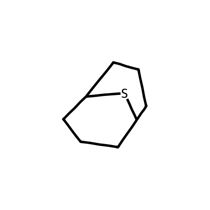 C1CC2CCCC(C1)S2